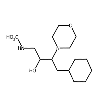 O=C(O)NCC(O)C(CC1CCCCC1)N1CCOCC1